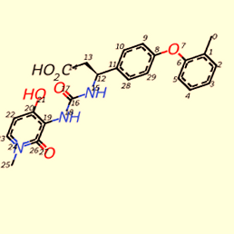 Cc1ccccc1Oc1ccc([C@H](CC(=O)O)NC(=O)Nc2c(O)ccn(C)c2=O)cc1